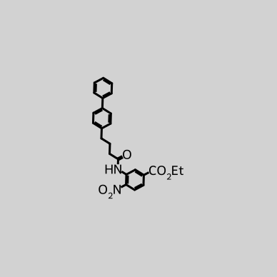 CCOC(=O)c1ccc([N+](=O)[O-])c(NC(=O)CCCc2ccc(-c3ccccc3)cc2)c1